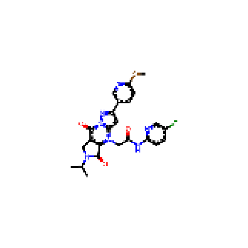 CSc1ccc(-c2cc3n(CC(=O)Nc4ccc(F)cn4)c4c(c(=O)n3n2)CN(C(C)C)C4=O)cn1